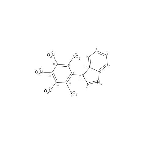 O=[N+]([O-])c1c(-n2nnc3ccccc32)c([N+](=O)[O-])c([N+](=O)[O-])c([N+](=O)[O-])c1[N+](=O)[O-]